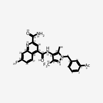 CC(=O)c1cccc(Cn2nc(C(F)(F)F)c(NC(=O)c3cc(C(N)=O)nc4cc(F)ccc34)c2C)c1